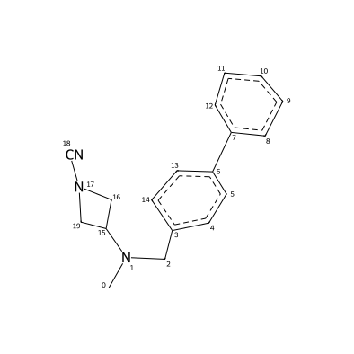 CN(Cc1ccc(-c2ccccc2)cc1)C1CN(C#N)C1